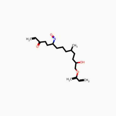 C=CC(=C)OCC(O)CCC(C)CCCC(CCC(=O)C=C)N=O